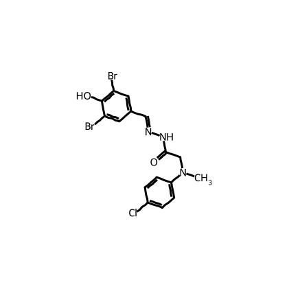 CN(CC(=O)N/N=C/c1cc(Br)c(O)c(Br)c1)c1ccc(Cl)cc1